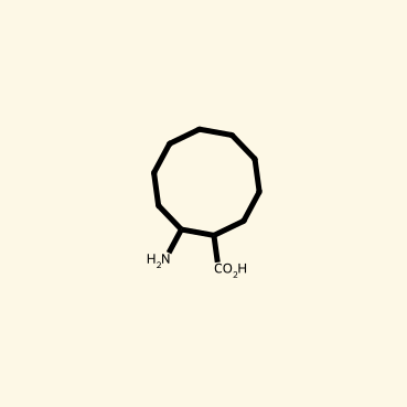 NC1CCCCCCCCC1C(=O)O